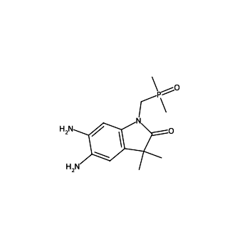 CC1(C)C(=O)N(CP(C)(C)=O)c2cc(N)c(N)cc21